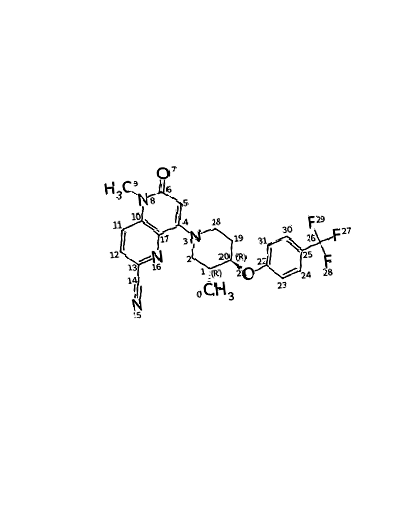 C[C@@H]1CN(c2cc(=O)n(C)c3ccc(C#N)nc23)CC[C@H]1Oc1ccc(C(F)(F)F)cc1